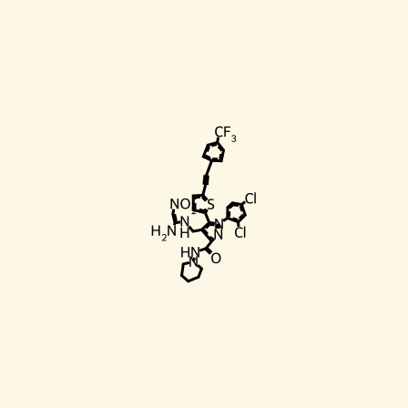 N/C(=C/[N+](=O)[O-])NCc1c(C(=O)NN2CCCCC2)nn(-c2ccc(Cl)cc2Cl)c1-c1ccc(C#Cc2ccc(C(F)(F)F)cc2)s1